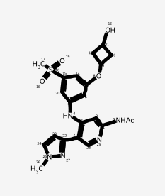 CC(=O)Nc1cc(Nc2cc(OC3CC(O)C3)cc(S(C)(=O)=O)c2)c(-c2ccn(C)n2)cn1